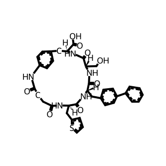 O=C1CCC(=O)N[C@H](Cc2cccs2)C(=O)N[C@@H](Cc2ccc(-c3ccccc3)cc2)C(=O)N[C@@H](CO)C(=O)N[C@H](C(=O)O)Cc2ccc(cc2)N1